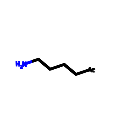 CC(=O)CCCCN